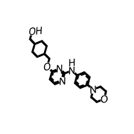 OCC1CCC(COc2ccnc(Nc3ccc(N4CCOCC4)cc3)n2)CC1